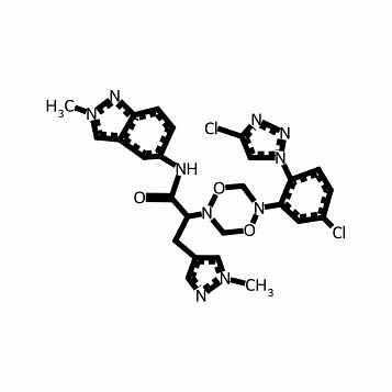 Cn1cc(CC(C(=O)Nc2ccc3nn(C)cc3c2)N2CON(c3cc(Cl)ccc3-n3cc(Cl)nn3)CO2)cn1